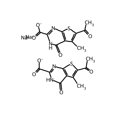 CC(=O)c1sc2nc(C(=O)[O-])[nH]c(=O)c2c1C.CC(=O)c1sc2nc(C(=O)[O-])[nH]c(=O)c2c1C.[Na+].[Na+]